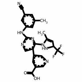 CC1=CC(C(F)(F)F)NN1c1nc(Nc2cc(C)cc(C#N)c2)ncc1-c1cncc(C(=O)O)c1